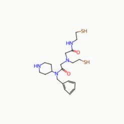 O=C(CN(CCS)CC(=O)N(Cc1ccccc1)C1CCNCC1)NCCS